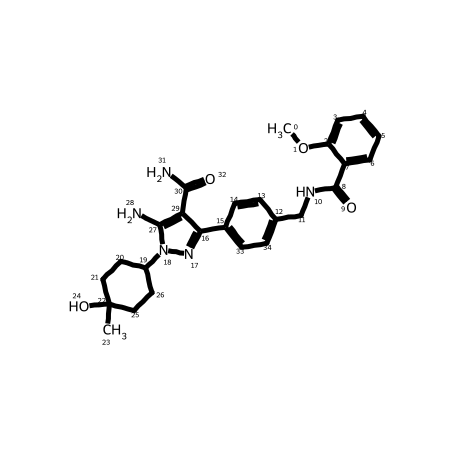 COc1ccccc1C(=O)NCc1ccc(-c2nn(C3CCC(C)(O)CC3)c(N)c2C(N)=O)cc1